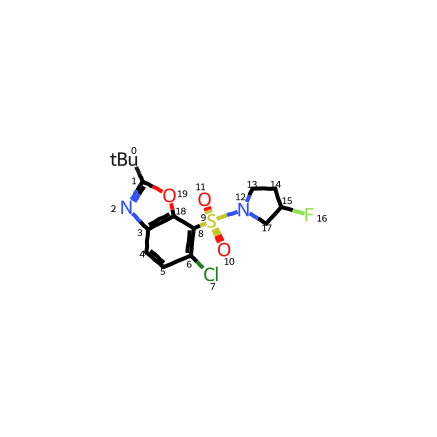 CC(C)(C)c1nc2ccc(Cl)c(S(=O)(=O)N3CCC(F)C3)c2o1